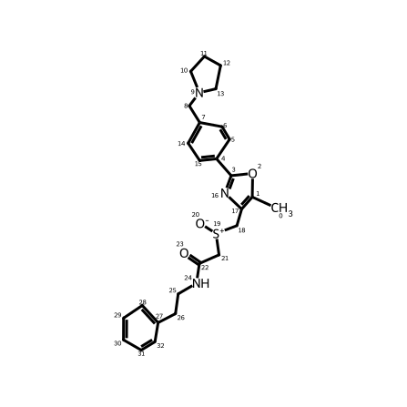 Cc1oc(-c2ccc(CN3CCCC3)cc2)nc1C[S+]([O-])CC(=O)NCCc1ccccc1